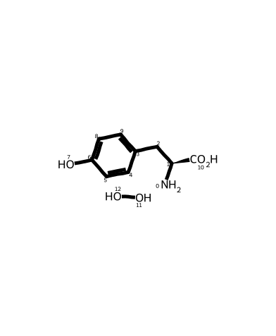 N[C@@H](Cc1ccc(O)cc1)C(=O)O.OO